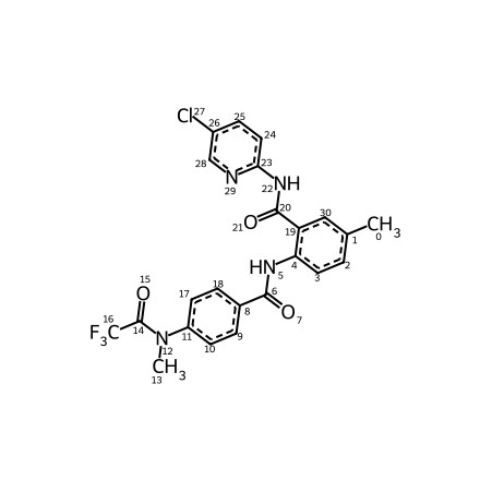 Cc1ccc(NC(=O)c2ccc(N(C)C(=O)C(F)(F)F)cc2)c(C(=O)Nc2ccc(Cl)cn2)c1